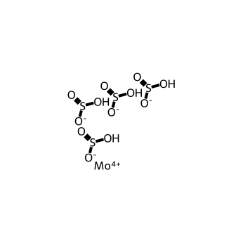 O=S([O-])O.O=S([O-])O.O=S([O-])O.O=S([O-])O.[Mo+4]